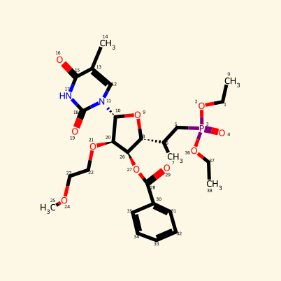 CCOP(=O)(CC(C)[C@H]1O[C@@H](n2cc(C)c(=O)[nH]c2=O)[C@H](OCCOC)[C@@H]1OC(=O)c1ccccc1)OCC